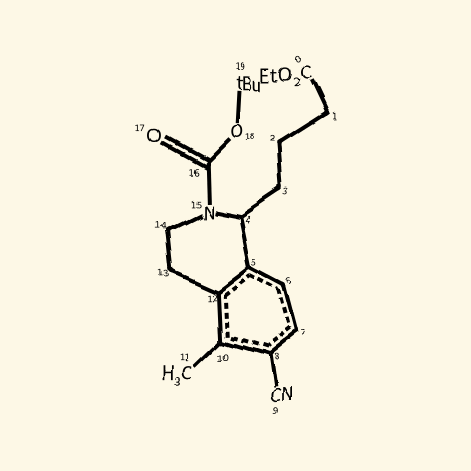 CCOC(=O)CCCC1c2ccc(C#N)c(C)c2CCN1C(=O)OC(C)(C)C